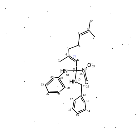 CC(C)=CCC/C(C)=C/C(NCc1ccccc1)(Nc1ccccc1)[N+](=O)[O-]